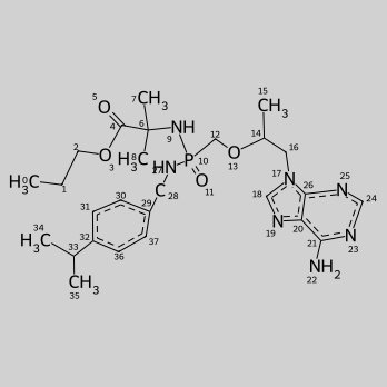 CCCOC(=O)C(C)(C)NP(=O)(COC(C)Cn1cnc2c(N)ncnc21)NCc1ccc(C(C)C)cc1